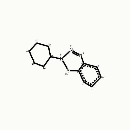 c1ccc2c(c1)N=NN(C1CCCCC1)S2